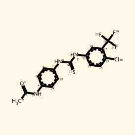 CC(=O)Nc1ccc(NC(=S)Nc2ccc(Cl)c(C(F)(F)F)c2)cc1